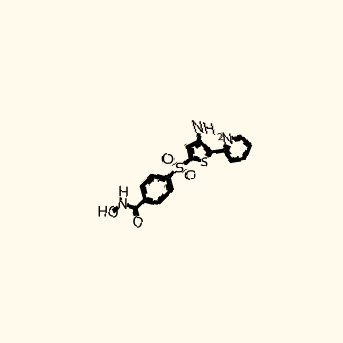 Nc1cc(S(=O)(=O)c2ccc(C(=O)NO)cc2)sc1-c1ccccn1